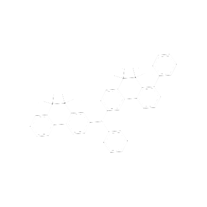 CC1(C)c2ccccc2-c2ccc(N(c3ccccc3)c3ccc4c(c3)-c3cccc(-c5ccccc5)c3C(C)(C)C4(C)C)cc2C1(C)C